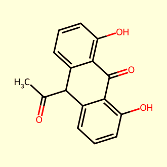 CC(=O)C1c2cccc(O)c2C(=O)c2c(O)cccc21